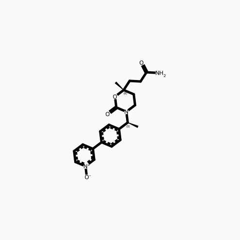 C[C@@H](c1ccc(-c2ccc[n+]([O-])c2)cc1)N1CC[C@@](C)(CCC(N)=O)OC1=O